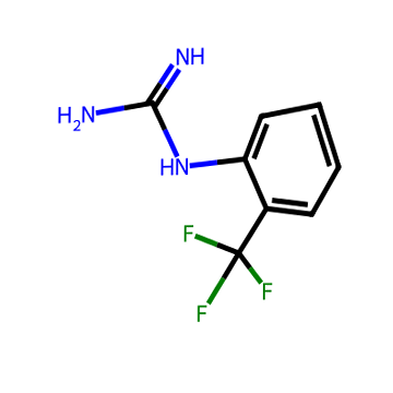 N=C(N)Nc1ccccc1C(F)(F)F